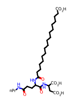 CCCNC(=O)CCC(NC(=O)CCCCCCCCCCCCCCCCC(=O)O)C(=O)NC(CC(=O)O)C(=O)O